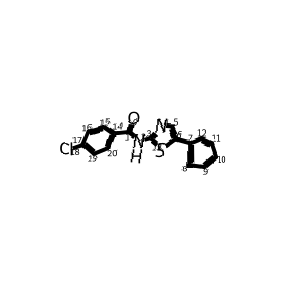 O=C(Nc1ncc(-c2ccccc2)s1)c1ccc(Cl)cc1